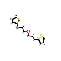 c1csc(CCCOCCCc2cccs2)c1